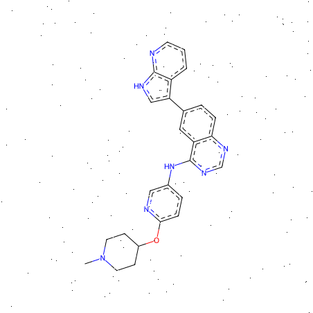 CN1CCC(Oc2ccc(Nc3ncnc4ccc(-c5c[nH]c6ncccc56)cc34)cn2)CC1